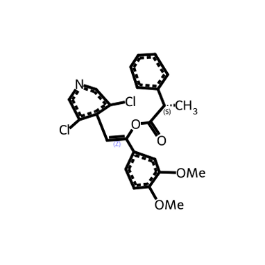 COc1ccc(/C(=C/c2c(Cl)cncc2Cl)OC(=O)[C@@H](C)c2ccccc2)cc1OC